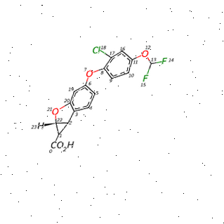 O=C(O)C1C2c3ccc(Oc4ccc(OC(F)F)cc4Cl)cc3O[C@@H]12